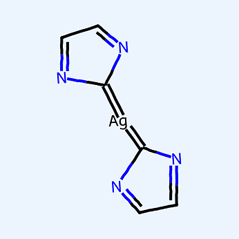 C1=N[C](=[Ag]=[C]2N=CC=N2)N=C1